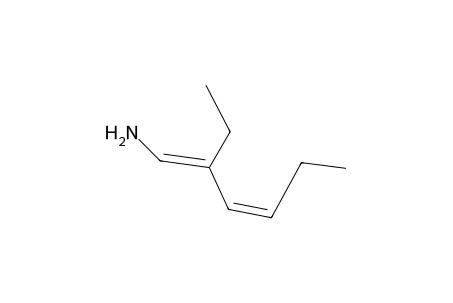 CC/C=C\C(=C\N)CC